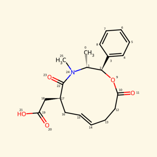 C[C@@H]1[C@@H](c2ccccc2)OC(=O)CC/C=C/C[C@@H](CC(=O)O)C(=O)N1C